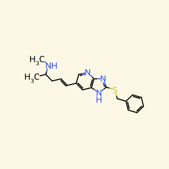 CNC(C)CC=Cc1cnc2nc(SCc3ccccc3)[nH]c2c1